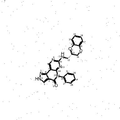 O=c1c2c[nH]nc2c2cnc(NC[C@H]3COc4ccccc4O3)nc2n1-c1ccccc1